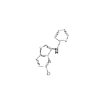 Clc1ccc2scc(Nc3ccccc3)c2n1